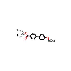 CCCCCCCCOc1ccc(-c2ccc(C(=O)O[C@H](C)CCCCCC)cc2)cc1